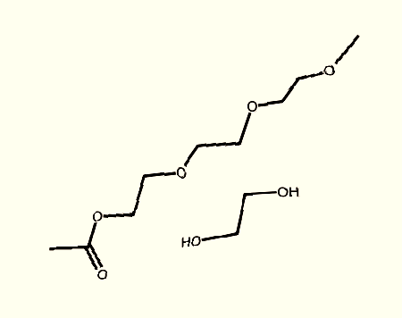 COCCOCCOCCOC(C)=O.OCCO